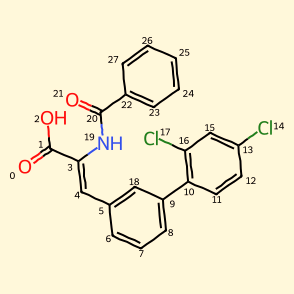 O=C(O)C(=Cc1cccc(-c2ccc(Cl)cc2Cl)c1)NC(=O)c1ccccc1